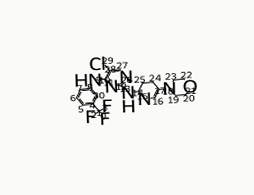 FC(F)(F)c1cccc(Nc2nc(NC3=NC=C(N4CCOCC4)CC3)ncc2Cl)c1